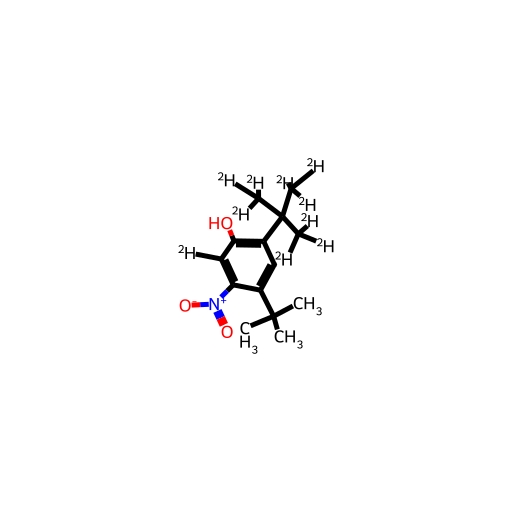 [2H]c1c(O)c(C(C([2H])([2H])[2H])(C([2H])([2H])[2H])C([2H])([2H])[2H])cc(C(C)(C)C)c1[N+](=O)[O-]